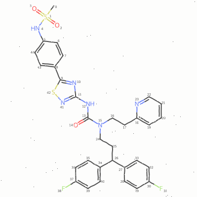 CS(=O)(=O)Nc1ccc(-c2nc(NC(=O)N(CCc3ccccn3)CCC(c3ccc(F)cc3)c3ccc(F)cc3)ns2)cc1